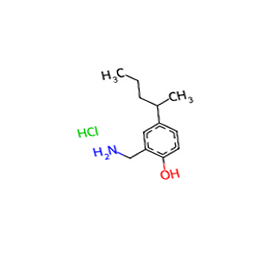 CCCC(C)c1ccc(O)c(CN)c1.Cl